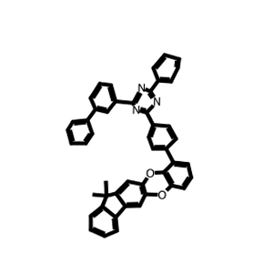 CC1(C)c2ccccc2-c2cc3c(cc21)Oc1c(cccc1-c1ccc(-c2nc(-c4ccccc4)nc(-c4cccc(-c5ccccc5)c4)n2)cc1)O3